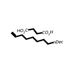 C=CCCCCCCCCCCCCCCCC.O=C(O)CCC(=O)O